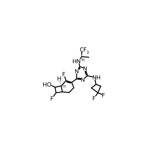 C[C@@H](Nc1nc(NC2CC(F)(F)C2)nc(C2=C(F)[C@@H]3C(O)C(F)C3CC2)n1)C(F)(F)F